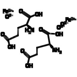 N[C@@H](CCC(=O)O)C(=O)O.N[C@@H](CCC(=O)O)C(=O)O.[Fe+3].[Fe+3].[O-2].[O-2].[O-2]